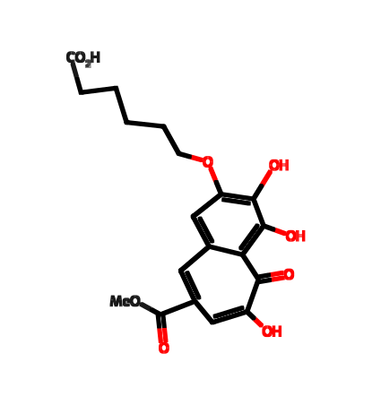 COC(=O)c1cc(O)c(=O)c2c(O)c(O)c(OCCCCCC(=O)O)cc2c1